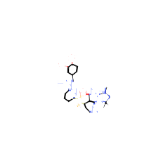 COc1ccc(CNc2cccc(S(=O)(=O)c3ccnc(N4CC(C)CC4(C)C)c3C(N)=O)n2)cc1OC